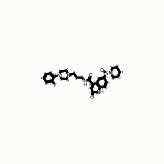 O=C(NCCCN1CCN(c2ccccc2F)CC1)c1cc(=O)[nH]c2ccc([S+]([O-])N3CCCCC3)cc12